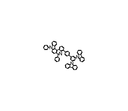 c1ccc(-c2nc3c(-c4ccc(-c5cc(-n6c7ccccc7c7ccccc76)cc(-n6c7ccccc7c7ccccc76)c5)cc4)cccc3c3c2ccc2c3c3ccccc3n2-c2ccccc2)cc1